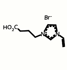 C=Cn1cc[n+](CCCC(=O)O)c1.[Br-]